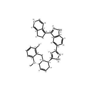 COc1cccc(F)c1CN1CC=CC[C@@H]1c1nc(-c2ccc3[nH]nc(C4=C5C=COC=C5CC4)c3c2)n[nH]1